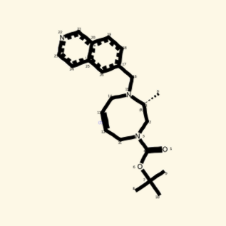 C[C@@H]1CN(C(=O)OC(C)(C)C)C/C=C\CN1Cc1ccc2cnccc2c1